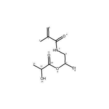 C=C(C)C(=O)NCC(CC)OC(=O)C(C)O